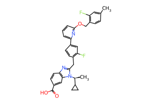 Cc1ccc(COc2cccc(-c3ccc(Cc4nc5ccc(C(=O)O)cc5n4[C@@H](C)C4CC4)c(F)c3)n2)c(F)c1